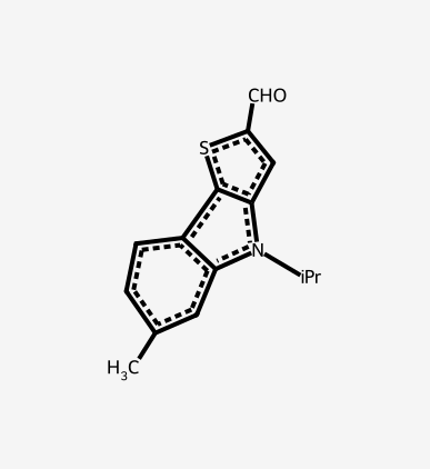 Cc1ccc2c3sc(C=O)cc3n(C(C)C)c2c1